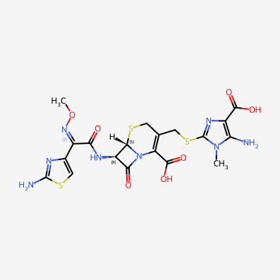 CO/N=C(\C(=O)N[C@@H]1C(=O)N2C(C(=O)O)=C(CSc3nc(C(=O)O)c(N)n3C)CS[C@@H]12)c1csc(N)n1